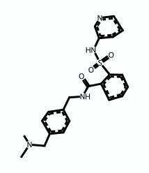 CN(C)Cc1ccc(CNC(=O)c2ccccc2S(=O)(=O)Nc2cccnc2)cc1